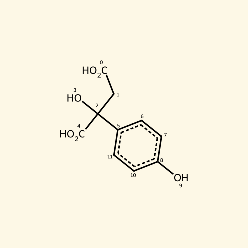 O=C(O)CC(O)(C(=O)O)c1ccc(O)cc1